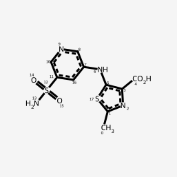 Cc1nc(C(=O)O)c(Nc2cncc(S(N)(=O)=O)c2)s1